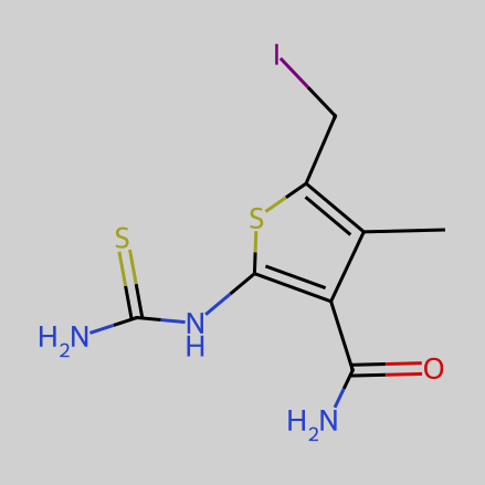 Cc1c(CI)sc(NC(N)=S)c1C(N)=O